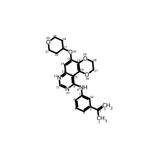 C=C(C)c1cccc(Nc2ncnc3cc(OC4CCOCC4)c4c(c23)OCCO4)c1